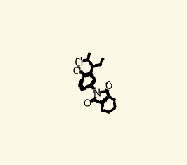 CCC(c1cc(N2C(=O)C3=C(CCCC3)C2=O)ccc1Cl)C(C)Cl